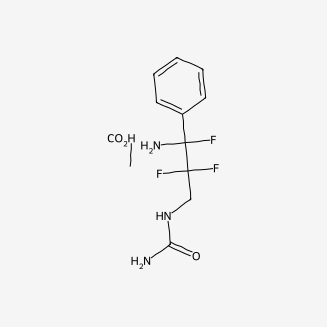 CC(=O)O.NC(=O)NCC(F)(F)C(N)(F)c1ccccc1